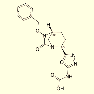 O=C(O)Nc1nnc([C@@H]2CC[C@@H]3CN2C(=O)N3OCc2ccccc2)o1